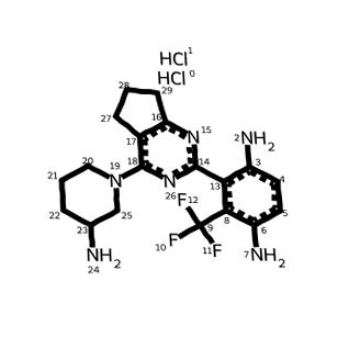 Cl.Cl.Nc1ccc(N)c(C(F)(F)F)c1-c1nc2c(c(N3CCCC(N)C3)n1)CCC2